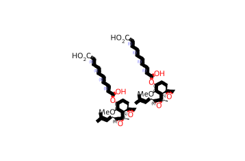 CO[C@@H]1[C@H](OC(O)/C=C/C=C/C=C/C=C/C(=O)O)CC[C@]2(CO2)[C@H]1[C@@]1(C)O[C@@H]1CC=C(C)C.CO[C@@H]1[C@H](OC(O)/C=C/C=C/C=C/C=C/C(=O)O)CC[C@]2(CO2)[C@H]1[C@@]1(C)O[C@@H]1CC=C(C)C